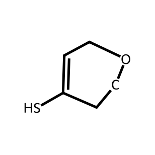 SC1=CCOCC1